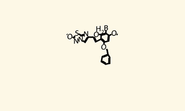 Bc1c(OC)cc(OCc2ccccc2)c2cc(-c3cn4nc(OC)sc4n3)oc12